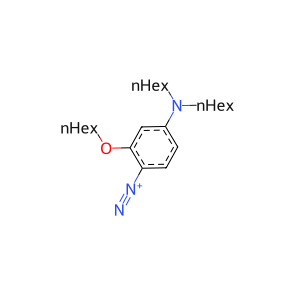 CCCCCCOc1cc(N(CCCCCC)CCCCCC)ccc1[N+]#N